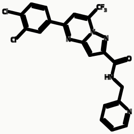 O=C(NCc1ccccn1)c1cc2nc(-c3ccc(Cl)c(Cl)c3)cc(C(F)(F)F)n2n1